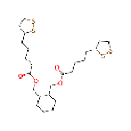 O=C(CCCCC1CCSS1)OCC1CCCCC1COC(=O)CCCCC1CCSS1